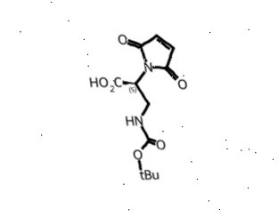 CC(C)(C)OC(=O)NC[C@@H](C(=O)O)N1C(=O)C=CC1=O